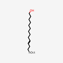 CCCCCCCCCCC=CCCCCCCCCCO